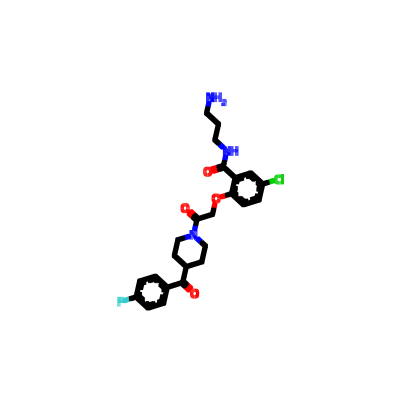 NCCCNC(=O)c1cc(Cl)ccc1OCC(=O)N1CCC(C(=O)c2ccc(F)cc2)CC1